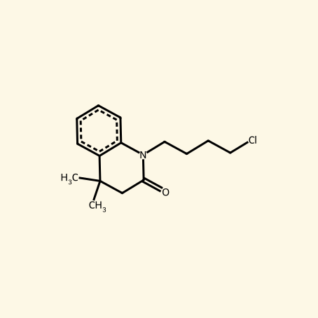 CC1(C)CC(=O)N(CCCCCl)c2ccccc21